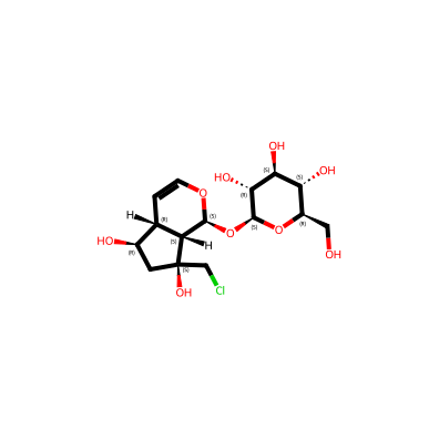 OC[C@H]1O[C@@H](O[C@@H]2OC=C[C@@H]3[C@H]2[C@](O)(CCl)C[C@H]3O)[C@H](O)[C@@H](O)[C@@H]1O